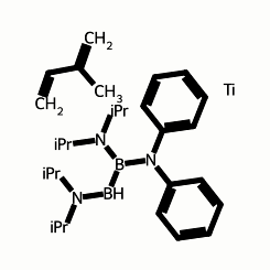 C=CC(=C)C.CC(C)N(BB(N(c1ccccc1)c1ccccc1)N(C(C)C)C(C)C)C(C)C.[Ti]